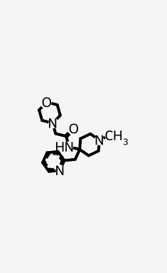 CN1CCC(Cc2ccccn2)(NC(=O)CN2CCOCC2)CC1